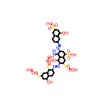 Nc1c(N=Nc2ccc3cc(S(=O)(=O)O)cc(O)c3c2)cc(S(=O)(=O)O)c2cc(SOOO)c(N=Nc3ccc4c(O)cc(SOOO)cc4c3SOOO)c(O)c12